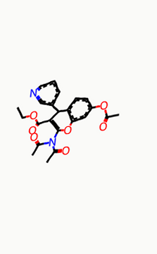 CCOC(=O)C1=C(N(C(C)=O)C(C)=O)Oc2cc(OC(C)=O)ccc2C1c1cccnc1